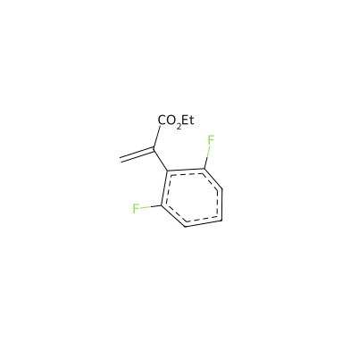 C=C(C(=O)OCC)c1c(F)cccc1F